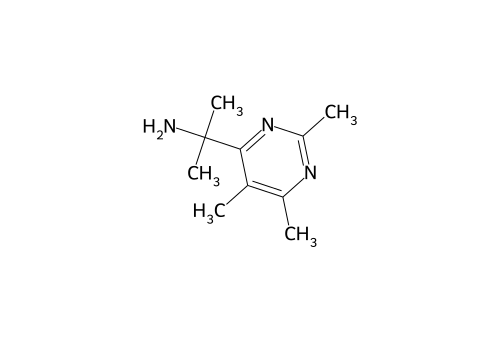 Cc1nc(C)c(C)c(C(C)(C)N)n1